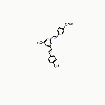 COc1ccc(/C=C/c2cc(O)cc(/C=C/c3ccc(O)cc3)c2)cc1